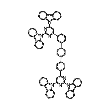 c1cc(-c2ccc(-c3ccc(-c4cc(-n5c6ccccc6c6ccccc65)nc(-n5c6ccccc6c6ccccc65)n4)cc3)cc2)cc(-c2cc(-n3c4ccccc4c4ccccc43)nc(-n3c4ccccc4c4ccccc43)n2)c1